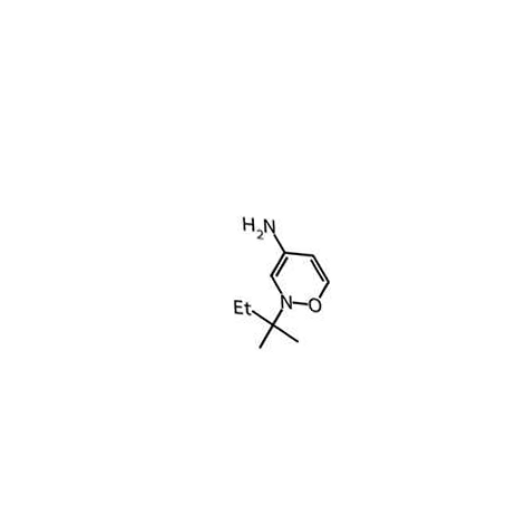 CCC(C)(C)N1C=C(N)C=CO1